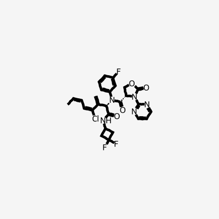 C=C(/C(Cl)=C\C=C/C)[C@@H](C(=O)NC1CC(F)(F)C1)N(C(=O)[C@@H]1COC(=O)N1c1ncccn1)c1cccc(F)c1